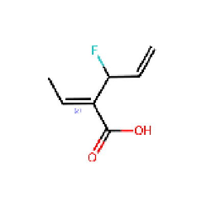 C=CC(F)/C(=C\C)C(=O)O